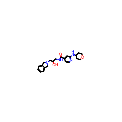 O=C(NCC(O)CN1Cc2ccccc2C1)c1ccnc(NC2CCOCC2)c1